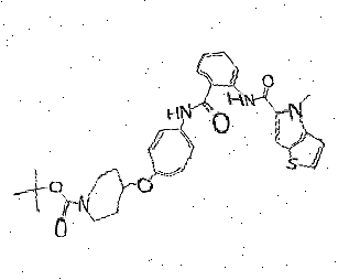 Cn1c(C(=O)Nc2ccccc2C(=O)Nc2ccc(OC3CCN(C(=O)OC(C)(C)C)CC3)cc2)cc2sccc21